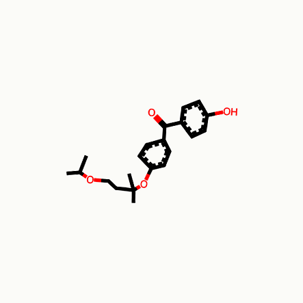 CC(C)OCCC(C)(C)Oc1ccc(C(=O)c2ccc(O)cc2)cc1